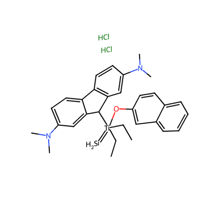 C[CH2][Ti](=[SiH2])([CH2]C)([O]c1ccc2ccccc2c1)[CH]1c2cc(N(C)C)ccc2-c2ccc(N(C)C)cc21.Cl.Cl